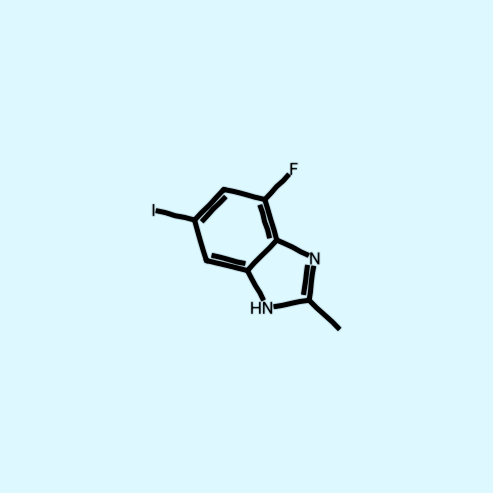 Cc1nc2c(F)cc(I)cc2[nH]1